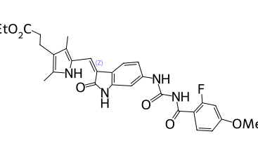 CCOC(=O)CCc1c(C)[nH]c(/C=C2\C(=O)Nc3cc(NC(=O)NC(=O)c4ccc(OC)cc4F)ccc32)c1C